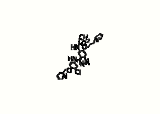 C=CC(=O)Nc1cc2c(Nc3ccc(OCc4ccccn4)c(Cl)c3)ncnc2cc1OCCCN1CCCC1